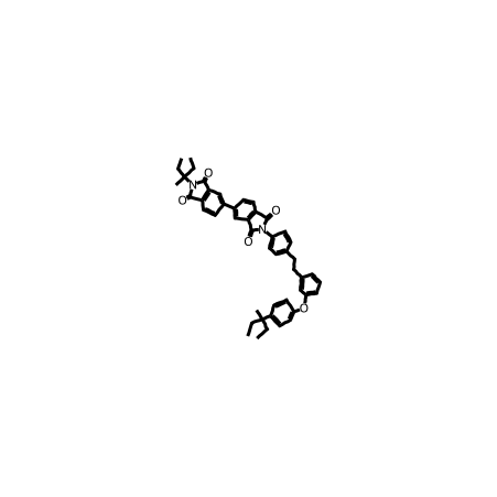 CCC(C)(CC)c1ccc(Oc2cccc(CCc3ccc(N4C(=O)c5ccc(-c6ccc7c(c6)C(=O)N(C(C)(CC)CC)C7=O)cc5C4=O)cc3)c2)cc1